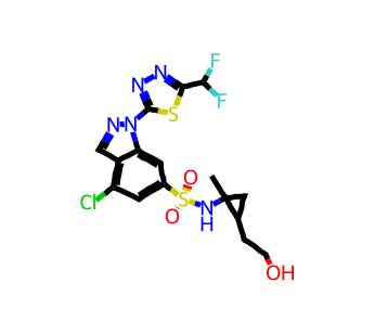 CC1(NS(=O)(=O)c2cc(Cl)c3cnn(-c4nnc(C(F)F)s4)c3c2)CC1CCO